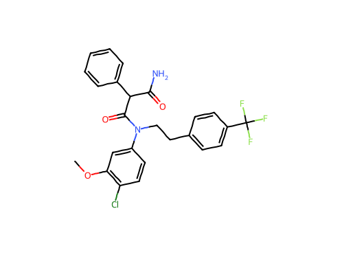 COc1cc(N(CCc2ccc(C(F)(F)F)cc2)C(=O)C(C(N)=O)c2ccccc2)ccc1Cl